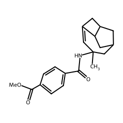 COC(=O)c1ccc(C(=O)NC2(C)C=C3CC4CC(CC34)C2)cc1